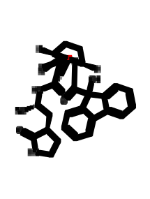 N#C[C@@H](C[C@H]1CCNC1=O)NC(=O)[C@@H]1[C@@H]2CC[C@@H](CC2(F)F)N1C(=O)C1(O)c2ccccc2-c2ccccc21